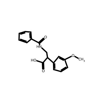 COc1cccc(C(CNC(=O)c2ccccc2)C(=O)O)c1